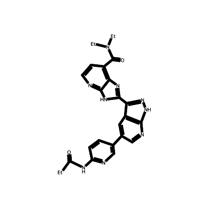 CCC(=O)Nc1ccc(-c2cnc3[nH]nc(-c4nc5c(C(=O)N(CC)CC)ccnc5[nH]4)c3c2)cn1